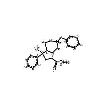 COC(=O)CCC(C#N)(c1ccccc1)C1CCN(Cc2ccccc2)CC1